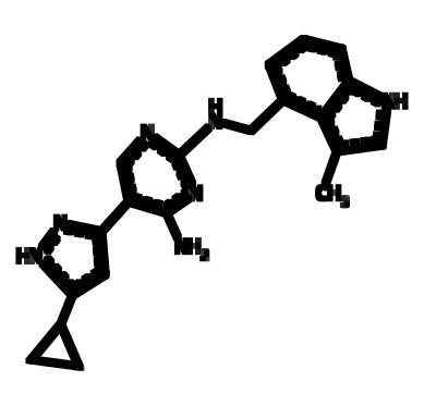 Cc1c[nH]c2cccc(CNc3ncc(-c4cc(C5CC5)[nH]n4)c(N)n3)c12